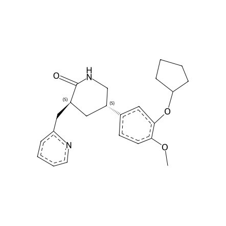 COc1ccc([C@H]2CNC(=O)[C@H](Cc3ccccn3)C2)cc1OC1CCCC1